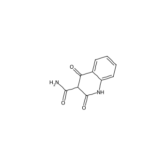 NC(=O)C1C(=O)Nc2ccccc2C1=O